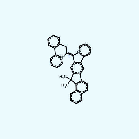 CC1(C)c2cc3c(cc2-c2ccc4ccccc4c21)-c1cccc[n+]1/C3=C1\Cc2ccccc2-c2cccc[n+]21